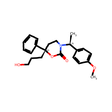 COc1ccc([C@H](C)N2CC[C@@](CCCO)(c3ccccc3)OC2=O)cc1